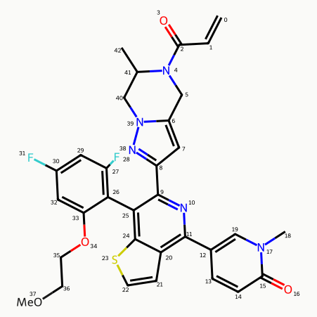 C=CC(=O)N1Cc2cc(-c3nc(-c4ccc(=O)n(C)c4)c4ccsc4c3-c3c(F)cc(F)cc3OCCOC)nn2CC1C